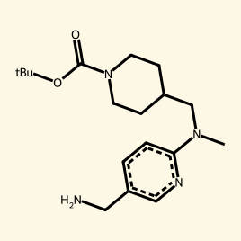 CN(CC1CCN(C(=O)OC(C)(C)C)CC1)c1ccc(CN)cn1